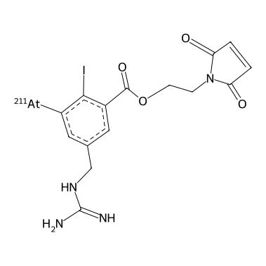 N=C(N)NCc1cc([211At])c(I)c(C(=O)OCCN2C(=O)C=CC2=O)c1